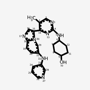 Cc1cnc(NC2CCC(O)CC2)nc1-c1cnc2ccc(Nc3cccnc3)cn12